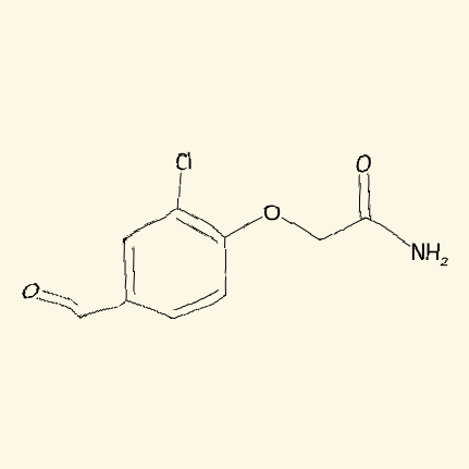 NC(=O)COc1ccc(C=O)cc1Cl